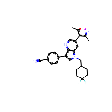 Cc1noc(C)c1-c1cnc2c(-c3ccc(C#N)cc3)cn(CC3CCC(F)(F)CC3)c2c1